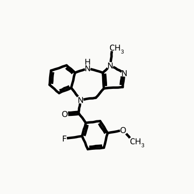 COc1ccc(F)c(C(=O)N2Cc3cnn(C)c3Nc3ccccc32)c1